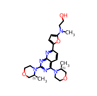 C[C@H]1COCCN1c1nc(N2CCOC[C@@H]2C)c2ccc(-c3ccc(N(C)CCO)o3)nc2n1